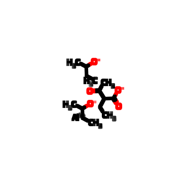 CCC(C(C)=O)C(=O)[O-].CCC(C)[O-].CCC(C)[O-].[Al+3]